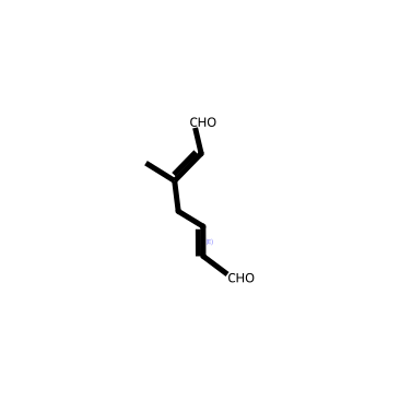 CC(=CC=O)C/C=C/C=O